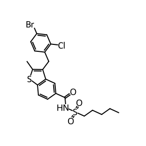 CCCCCS(=O)(=O)NC(=O)c1ccc2sc(C)c(Cc3ccc(Br)cc3Cl)c2c1